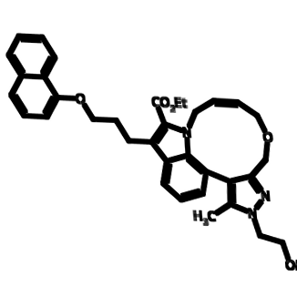 CCOC(=O)c1c(CCCOc2cccc3ccccc23)c2cccc3c2n1C/C=C\COCc1nn(CCOC)c(C)c1-3